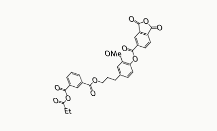 CCC(=O)OC(=O)c1cccc(C(=O)OCCCc2ccc(OC(=O)c3ccc4c(c3)C(=O)OC4=O)c(OC)c2)c1